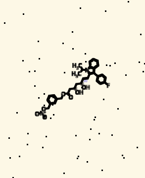 CC(C)n1c(/C=C/[C@H](O)C[C@H](O)CC(=O)OCc2cccc(CO[N+](=O)[O-])c2)c(-c2ccc(F)cc2)c2ccccc21